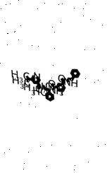 CC(C)c1cncc(N(C)C[C@@H](O)[C@@](C)(NC(=O)c2cccc(C(=O)NCCc3ccccc3)c2)c2ccccc2)c1